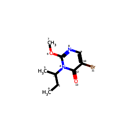 CCC(C)n1c(OC)ncc(Br)c1=O